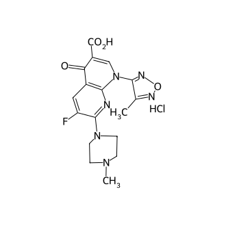 Cc1nonc1-n1cc(C(=O)O)c(=O)c2cc(F)c(N3CCN(C)CC3)nc21.Cl